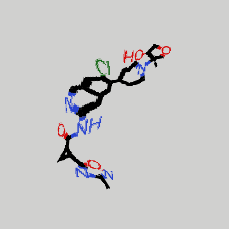 Cc1noc(C2CC2C(=O)Nc2cc3cc(C4CCN([C@@]5(C)COC[C@H]5O)CC4)c(Cl)cc3cn2)n1